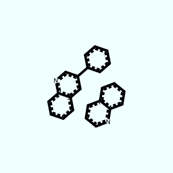 c1ccc(-c2cnc3ccccc3c2)cc1.c1ccc2ncccc2c1